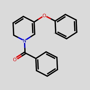 O=C(c1ccccc1)N1C=C(Oc2[c]cccc2)C=CC1